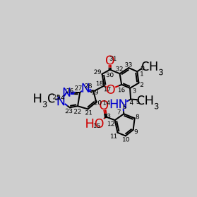 Cc1cc(C(C)Nc2ccccc2C(=O)O)c2oc(-c3ccc4cn(C)nc4n3)cc(=O)c2c1